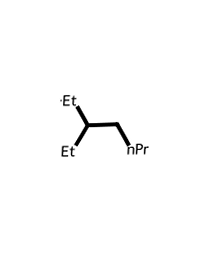 C[CH]C(CC)CCCC